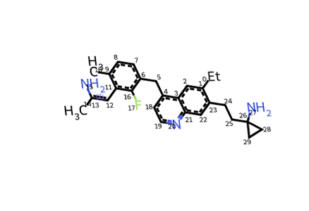 CCc1cc2c(Cc3ccc(C)c(/C=C(/C)N)c3F)ccnc2cc1CCC1(N)CC1